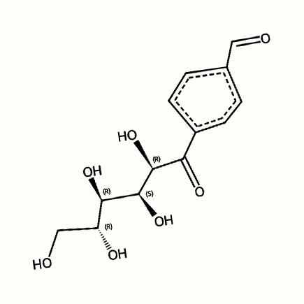 O=Cc1ccc(C(=O)[C@H](O)[C@@H](O)[C@H](O)[C@H](O)CO)cc1